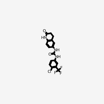 O=C1CCc2cc(NC(=O)Nc3ccc(Cl)c(C(F)(F)F)c3)ccc2N1